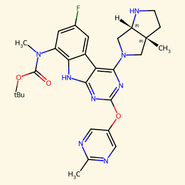 Cc1ncc(Oc2nc(N3C[C@@H]4NCC[C@]4(C)C3)c3c(n2)[nH]c2c(N(C)C(=O)OC(C)(C)C)cc(F)cc23)cn1